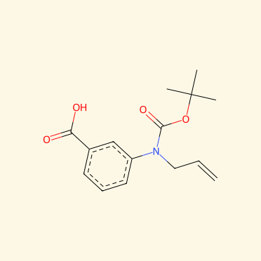 C=CCN(C(=O)OC(C)(C)C)c1cccc(C(=O)O)c1